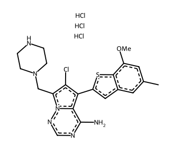 COc1cc(C)cc2cc(-c3c(Cl)c(CN4CCNCC4)n4ncnc(N)c34)sc12.Cl.Cl.Cl